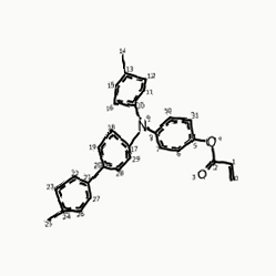 C=CC(=O)Oc1ccc(N(c2ccc(C)cc2)c2ccc(-c3ccc(C)cc3)cc2)cc1